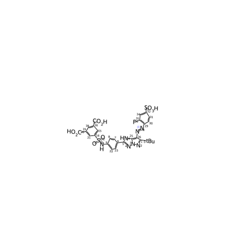 CC(C)(C)c1nn2nc(-c3ccc(NS(=O)(=O)c4cc(C(=O)O)cc(C(=O)O)c4)cc3)[nH]c2c1/N=N/c1ccc(S(=O)(=O)O)cc1F